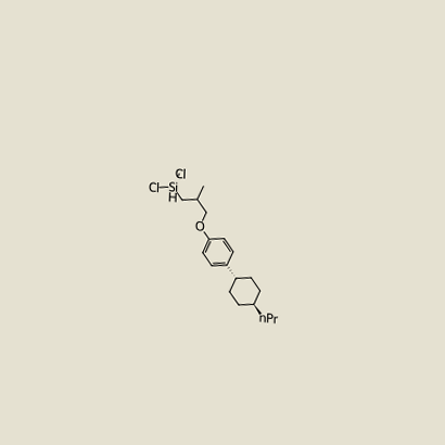 CCC[C@H]1CC[C@H](c2ccc(OCC(C)C[SiH](Cl)Cl)cc2)CC1